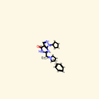 CC[C@H](c1nc2c(cnn2C2CCCC2)c(=O)[nH]1)N1CC[C@H](c2ccccc2)C1